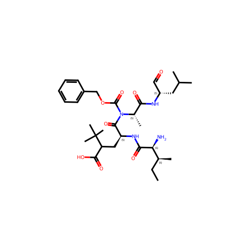 CC[C@H](C)[C@H](N)C(=O)N[C@@H](CC(C(=O)O)C(C)(C)C)C(=O)N(C(=O)OCc1ccccc1)[C@@H](C)C(=O)N[C@H](C=O)CC(C)C